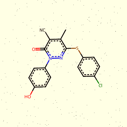 Cc1c(Sc2ccc(Cl)cc2)nn(-c2ccc(O)cc2)c(=O)c1C#N